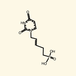 O=c1ccn(C/C=C/CCP(=O)(O)O)c(=O)[nH]1